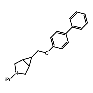 CC(C)N1CC2C(COc3ccc(-c4ccccc4)cc3)C2C1